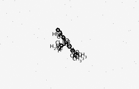 COC(=O)[C@@H](C(=O)N(C)C)N1CCN(C2CCN(C(=O)C(Cc3cc(Cl)c(N)c(C(F)(F)F)c3)OC(=O)N3CCC(N4CCc5ccccc5NC4=O)CC3)CC2)CC1